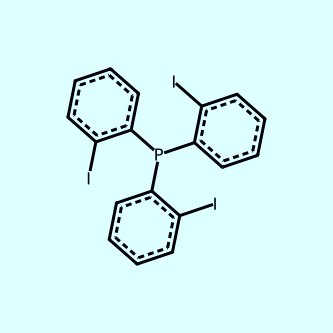 Ic1ccccc1P(c1ccccc1I)c1ccccc1I